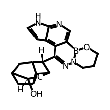 O[C@@H]1CC2CC3CC(CC1C3)[C@@H]2C1=NN2CCCOB2c2cnc3[nH]ccc3c21